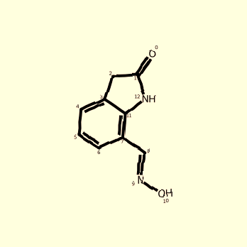 O=C1Cc2cccc(C=NO)c2N1